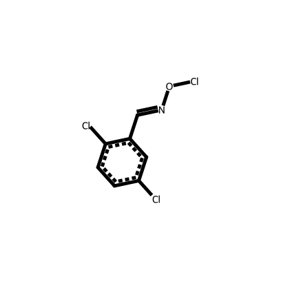 ClON=Cc1cc(Cl)ccc1Cl